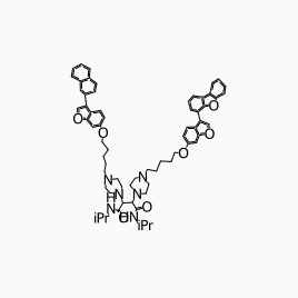 CC(C)NC(=O)C(C(C(=O)NC(C)C)N1CCN(CCCCCOc2ccc3c(-c4cccc5c4oc4ccccc45)coc3c2)CC1)N1CCN(CCCCCOc2ccc3c(-c4ccc5ccccc5c4)coc3c2)CC1